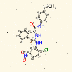 C=Cc1ccc(NC(=O)C(NC(=S)Nc2cc([N+](=O)[O-])ccc2Cl)c2ccccc2)cc1